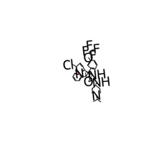 CC(C)N1CCC(NC(=O)N[C@@](Cc2ccccc2)(c2cccc(OC(F)(F)C(F)F)c2)c2ccc(Cl)cn2)CC1